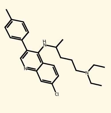 CCN(CC)CCCC(C)Nc1c(-c2ccc(C)cc2)cnc2cc(Cl)ccc12